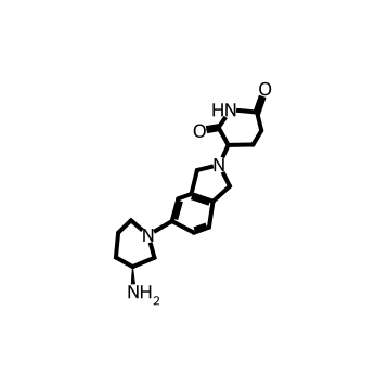 N[C@H]1CCCN(c2ccc3c(c2)CN(C2CCC(=O)NC2=O)C3)C1